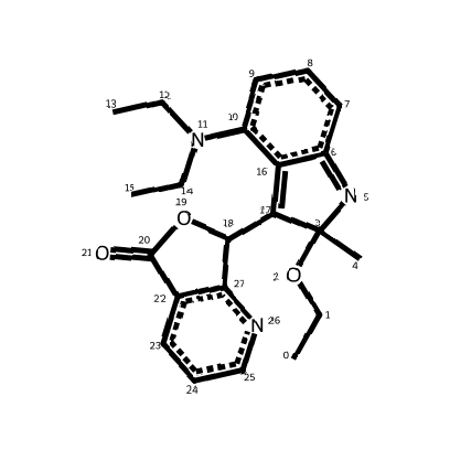 CCOC1(C)N=c2cccc(N(CC)CC)c2=C1C1OC(=O)c2cccnc21